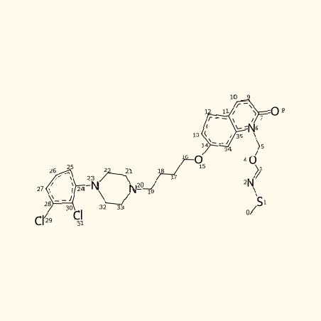 CSN=COCn1c(=O)ccc2ccc(OCCCCN3CCN(c4cccc(Cl)c4Cl)CC3)cc21